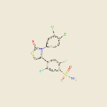 NS(=O)(=O)c1cc(F)c(-c2csc(=O)n2-c2ccc(Cl)c(Cl)c2)cc1F